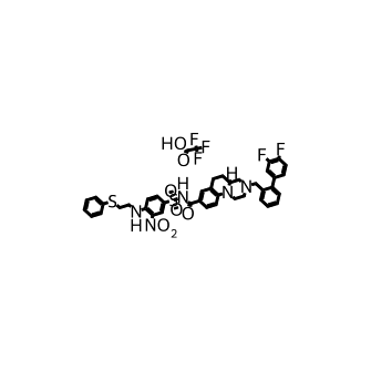 O=C(NS(=O)(=O)c1ccc(NCCSc2ccccc2)c([N+](=O)[O-])c1)c1ccc2c(c1)CC[C@H]1CN(Cc3ccccc3-c3ccc(F)c(F)c3)CCN21.O=C(O)C(F)(F)F